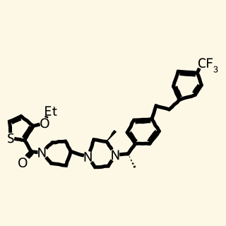 CCOc1ccsc1C(=O)N1CCC(N2CCN([C@@H](C)c3ccc(CCc4ccc(C(F)(F)F)cc4)cc3)[C@H](C)C2)CC1